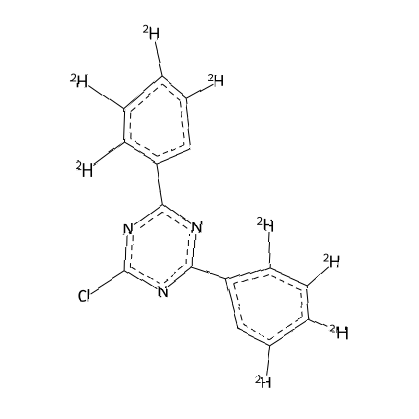 [2H]c1cc(-c2nc(Cl)nc(-c3cc([2H])c([2H])c([2H])c3[2H])n2)c([2H])c([2H])c1[2H]